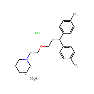 Cl.O=C(O)[C@@H]1CCCN(CCOCCC(c2ccc(C(F)(F)F)cc2)c2ccc(C(F)(F)F)cc2)C1